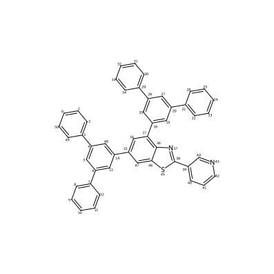 c1ccc(-c2cc(-c3ccccc3)cc(-c3cc(-c4cc(-c5ccccc5)cc(-c5ccccc5)c4)c4nc(-c5cccnc5)sc4c3)c2)cc1